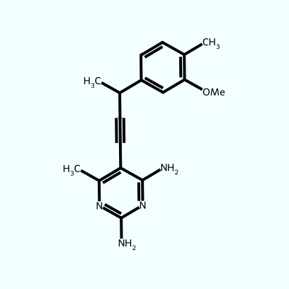 COc1cc(C(C)C#Cc2c(C)nc(N)nc2N)ccc1C